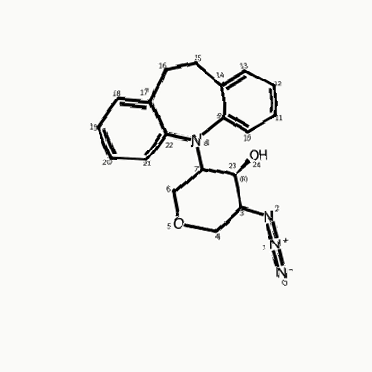 [N-]=[N+]=NC1COCC(N2c3ccccc3CCc3ccccc32)[C@H]1O